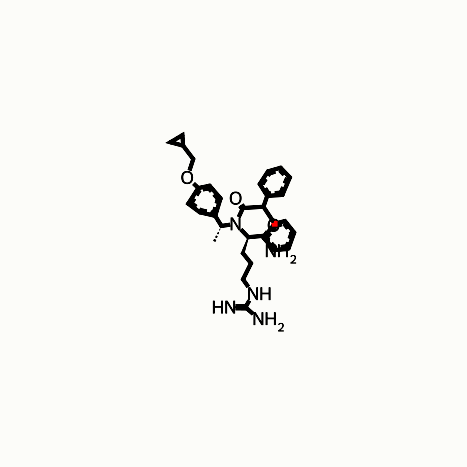 C[C@H](c1ccc(OCC2CC2)cc1)N(C(=O)C(c1ccccc1)c1ccccc1)[C@H](CCCNC(=N)N)C(N)=O